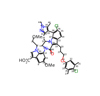 COCCn1cc(C(=O)O)c2cc(OC)cc(N3C[C@@H](C)n4c(c(CCCOc5cc(C)c(Cl)c(C)c5)c5ccc(Cl)c(-c6c(C)nn(C)c6C)c54)C3=O)c21